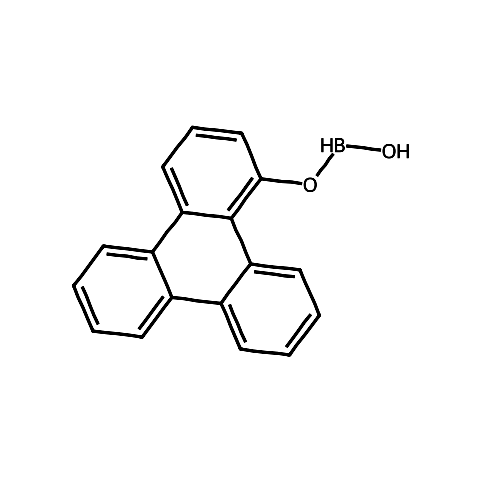 OBOc1cccc2c3ccccc3c3ccccc3c12